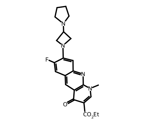 CCOC(=O)c1cn(C)c2nc3cc(N4CC(N5CCCC5)C4)c(F)cc3cc2c1=O